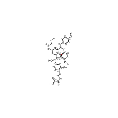 CCC[C@H](C)Oc1nc(N(Cc2ccc(OC)cc2)Cc2ccc(OC)cc2)c2ncc(C(O)c3ccc(OCCN(C)C(=O)O)c(F)c3)n2n1